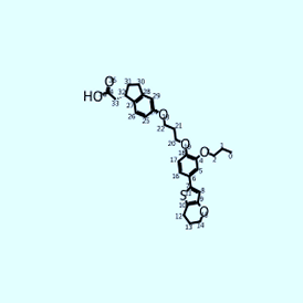 CCCOc1cc(-c2cc3c(s2)CCCO3)ccc1OCCCOc1ccc2c(c1)CC[C@H]2CC(=O)O